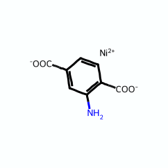 Nc1cc(C(=O)[O-])ccc1C(=O)[O-].[Ni+2]